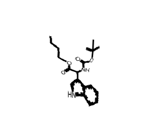 CCCCOC(=O)C(NC(=O)OC(C)(C)C)c1c[nH]c2ccccc12